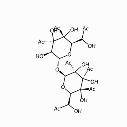 CC(=O)C(O)[C@H]1O[C@@H](O[C@H]2O[C@H](C(O)C(C)=O)[C@](O)(C(C)=O)[C@@](O)(C(C)=O)[C@@H]2O)[C@](O)(C(C)=O)[C@](O)(C(C)=O)[C@@]1(O)C(C)=O